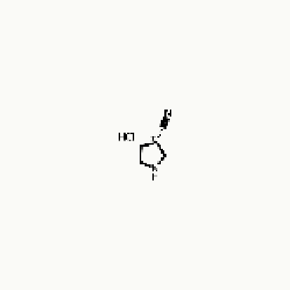 Cl.N#C[C@H]1CCNC1